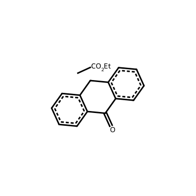 CCOC(C)=O.O=C1c2ccccc2Cc2ccccc21